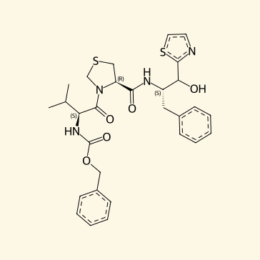 CC(C)[C@H](NC(=O)OCc1ccccc1)C(=O)N1CSC[C@H]1C(=O)N[C@@H](Cc1ccccc1)C(O)c1nccs1